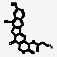 CCc1c2c(nc3ccc(O)cc13)-c1cc3c(c(=O)n1C2)COC(=O)[C@H]3OC(=O)CN